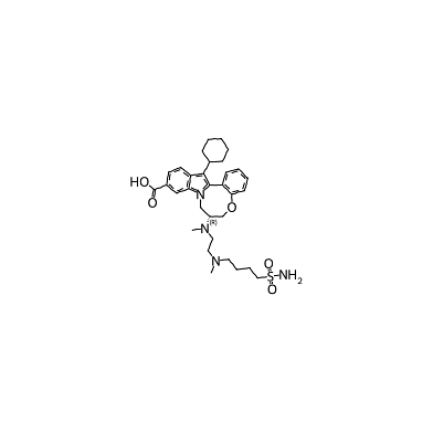 CN(CCCCS(N)(=O)=O)CCN(C)[C@H]1COc2ccccc2-c2c(C3CCCCC3)c3ccc(C(=O)O)cc3n2C1